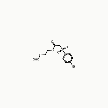 CCc1ccc(S(=O)(=O)CC(=O)OCCOC=O)cc1